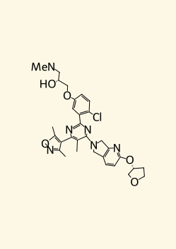 CNC[C@@H](O)COc1ccc(Cl)c(-c2nc(-c3c(C)noc3C)c(C)c(N3Cc4ccc(O[C@@H]5CCOC5)nc4C3)n2)c1